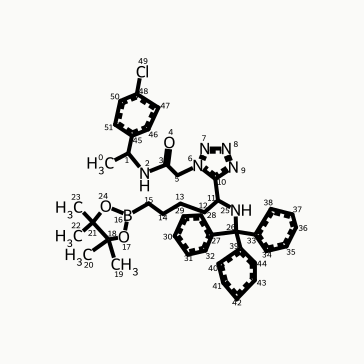 CC(NC(=O)Cn1nnnc1C(CCCCB1OC(C)(C)C(C)(C)O1)NC(c1ccccc1)(c1ccccc1)c1ccccc1)c1ccc(Cl)cc1